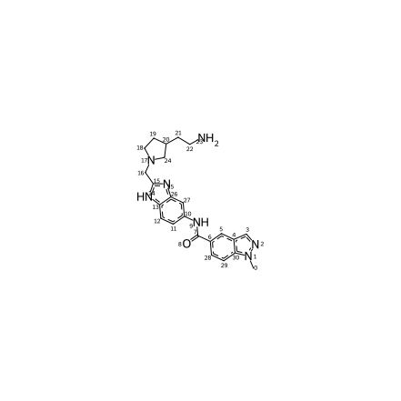 Cn1ncc2cc(C(=O)Nc3ccc4[nH]c(CN5CCC(CCN)C5)nc4c3)ccc21